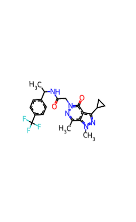 Cc1nn(CC(=O)NC(C)c2ccc(C(F)(F)F)cc2)c(=O)c2c(C3CC3)nn(C)c12